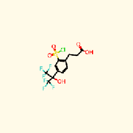 O=C(O)CCc1ccc(C(O)(C(F)(F)F)C(F)(F)F)cc1S(=O)(=O)Cl